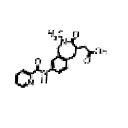 CN1Cc2cc(NC(=O)c3ccccn3)ccc2CC(CC(=O)O)C1=O